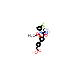 CCOC(=O)N(c1cccc(C(F)(F)F)c1)c1c(C)noc1-c1ccc(-c2ccc(CC(=O)O)cc2)cc1